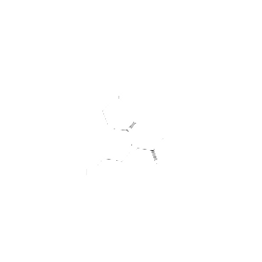 CC(=O)N(CCS)C(=O)C[C@H](C)O